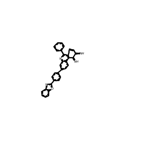 N=C1C=Cc2c(-c3ccccc3)nc3cc(-c4ccc(-c5nc6ccccc6o5)cc4)ccc3c2C1=N